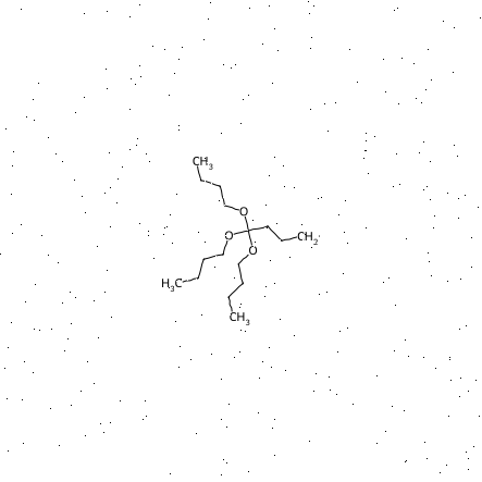 [CH2]CCC(OCCCC)(OCCCC)OCCCC